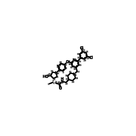 CC[C@H]1CN(c2ccc(Oc3cc(CN4CCC(CNC(C)=O)CC4)cc(-c4cc(Cl)cc(Cl)c4)n3)cn2)C[C@@H]1O